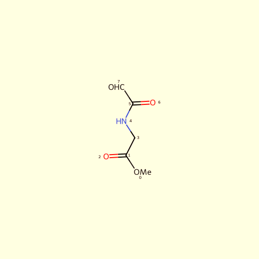 COC(=O)CNC(=O)C=O